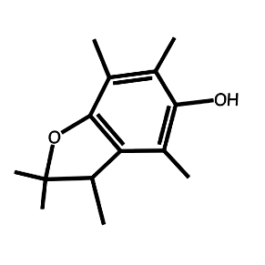 Cc1c(C)c2c(c(C)c1O)C(C)C(C)(C)O2